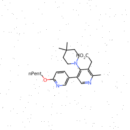 CCCCCOc1ccc(-c2cnc(C)c(CC(=O)O)c2N2CCC(C)(C)CC2)cn1